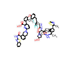 Cc1ncsc1-c1ccc([C@H](C)NC(=O)[C@@H]2C[C@@H](O)CN2C(=O)[C@@H](NC(=O)C[C@@H](Cc2ccc(Oc3cccc(-c4ccc(N5CCc6cccc(C(=O)Nc7nc8ccccc8s7)c6C5)nc4C(=O)O)c3C)cc2)C(F)(F)F)C(C)(C)C)cc1